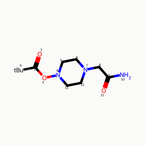 CC(C)(C)C(=O)ON1CCN(CC(N)=O)CC1